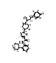 O=C(Nc1ccccc1N1CCOCC1)c1csc(C2CCN(C(=O)COc3ccc(F)cc3)CC2)n1